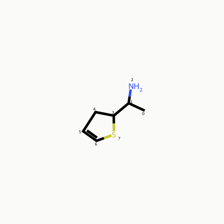 CC(N)C1CC=CS1